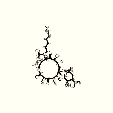 C=C1C(=O)[C@H](C)C[C@@](C)(OC)[C@H](O[C@@H]2OC(C)CC(N(C)C)C2O)[C@@H](C)C(=O)[C@@H](C)C(=O)O[C@H](CC)[C@@]2(C)OC(=O)N(CCCCN=[N+]=[N-])[C@H]12